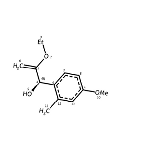 C=C(OCC)[C@H](O)c1ccc(OC)cc1C